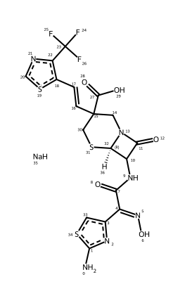 Nc1nc(C(=NO)C(=O)NC2C(=O)N3CC(C=Cc4scnc4C(F)(F)F)(C(=O)O)CS[C@H]23)cs1.[NaH]